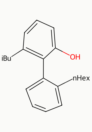 CCCCCCc1ccccc1-c1c(O)cccc1C(C)CC